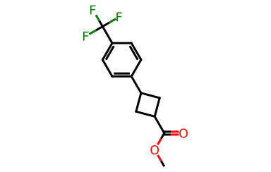 COC(=O)C1CC(c2ccc(C(F)(F)F)cc2)C1